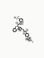 Cc1ccnc(NC(=O)[C@H](Cc2ccccc2)n2cc(CNC(=O)c3ccc(S(N)(=O)=O)cc3)nn2)c1